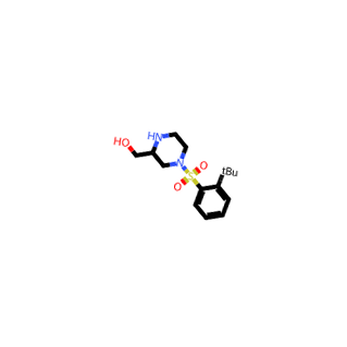 CC(C)(C)c1ccccc1S(=O)(=O)N1CCNC(CO)C1